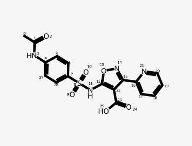 CC(=O)Nc1ccc(S(=O)(=O)Nc2onc(-c3ccccn3)c2C(=O)O)cc1